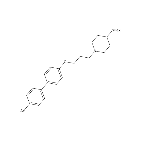 CCCCCCC1CCN(CCCOc2ccc(-c3ccc(C(C)=O)cc3)cc2)CC1